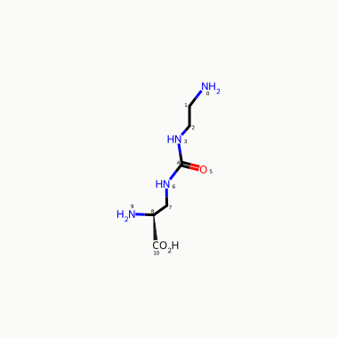 NCCNC(=O)NC[C@H](N)C(=O)O